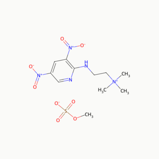 COS(=O)(=O)[O-].C[N+](C)(C)CCNc1ncc([N+](=O)[O-])cc1[N+](=O)[O-]